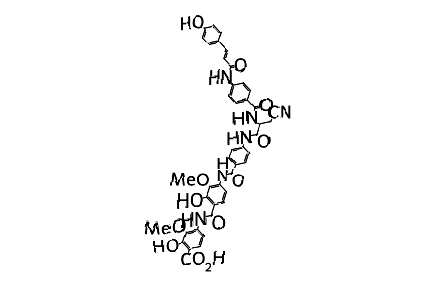 COc1c(NC(=O)c2ccc(NC(=O)c3ccc(NC(=O)C(CC#N)NC(=O)c4ccc(NC(=O)/C=C/c5ccc(O)cc5)cc4)cc3)c(OC)c2O)ccc(C(=O)O)c1O